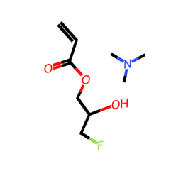 C=CC(=O)OCC(O)CF.CN(C)C